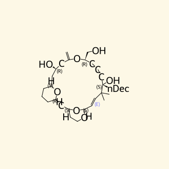 C=C1C[C@H](O)C[C@@H]2CCC[C@H](C[C@@H]3CCO[C@H](/C=C/C(C)(C)[C@](O)(CCCCCCCCCC)CCC[C@H](CO)O1)O3)O2